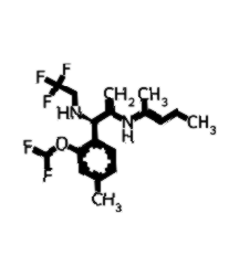 C=C(N/C(C)=C/CC)[C@H](NCC(F)(F)F)c1ccc(C)cc1OC(F)F